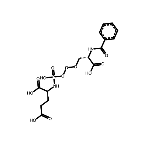 O=C(O)CC[C@H](NP(=O)(O)OOOC[C@H](NC(=O)c1ccccc1)C(=O)O)C(=O)O